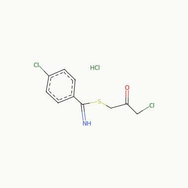 Cl.N=C(SCC(=O)CCl)c1ccc(Cl)cc1